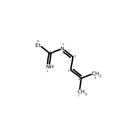 CCC(=N)/N=C\C=C(C)C